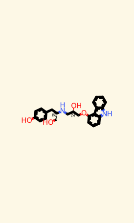 OC[C@H](Cc1ccc(O)cc1)NC[C@H](O)COc1cccc2[nH]c3ccccc3c12